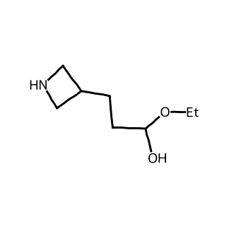 CCOC(O)CCC1CNC1